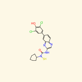 O=C(Nc1cnc2ccc(-c3cc(Cl)c(O)c(Cl)c3)cc2n1)N(S)C1CCCCC1